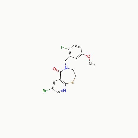 O=C1c2cc(Br)cnc2SCCN1Cc1cc(OC(F)(F)F)ccc1F